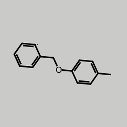 Cc1ccc(OCc2[c]cccc2)cc1